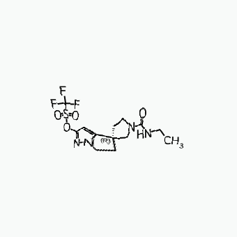 CCNC(=O)N1CC[C@@]2(CCn3nc(OS(=O)(=O)C(F)(F)F)cc32)C1